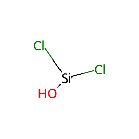 O[Si](Cl)Cl